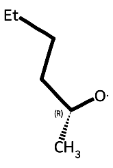 CCCC[C@@H](C)[O]